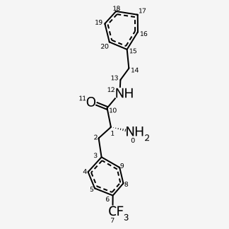 N[C@H](Cc1ccc(C(F)(F)F)cc1)C(=O)NCCc1ccccc1